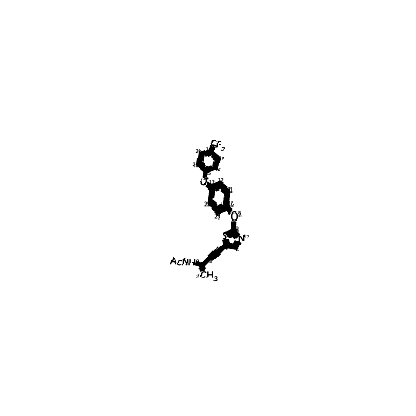 CC(=O)NC(C)C#Cc1cnc(Oc2ccc(Oc3ccc(C(F)(F)F)cc3)cc2)s1